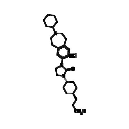 Cl.O=C(O)CC[C@H]1CC[C@H](N2CCN(c3ccc4c(c3)CCN(C3CCCCC3)CC4)C2=O)CC1